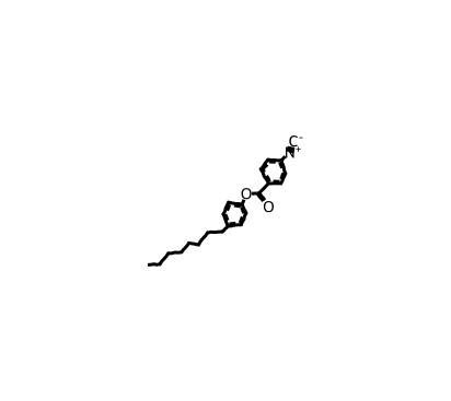 [C-]#[N+]c1ccc(C(=O)Oc2ccc(CCCCCCCC)cc2)cc1